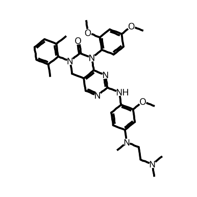 COc1ccc(N2C(=O)N(c3c(C)cccc3C)Cc3cnc(Nc4ccc(N(C)CCN(C)C)cc4OC)nc32)c(OC)c1